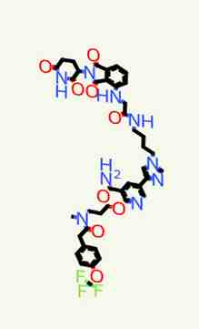 CN(CCCOc1ncc(-c2cn(CCCCNC(=O)CNc3cccc4c3C(=O)N(C3CCC(=O)NC3=O)C4=O)cn2)cc1C(N)=O)C(=O)Cc1ccc(OC(F)(F)F)cc1